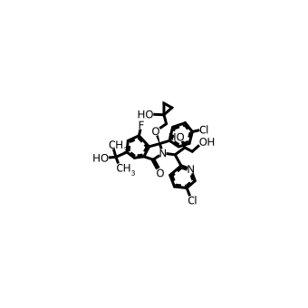 CC(C)(O)c1cc(F)c2c(c1)C(=O)N(C(c1ccc(Cl)cn1)C(O)CO)[C@@]2(OCC1(O)CC1)c1ccc(Cl)cc1